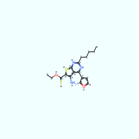 CCCCCc1nc(-c2ccoc2)c2c(N)c(C(=S)OCC)sc2n1